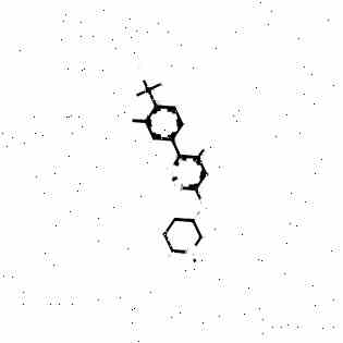 Cc1cc(N[C@@H]2CCCN(C)C2)nnc1-c1ccc(C(F)(F)F)c(F)c1